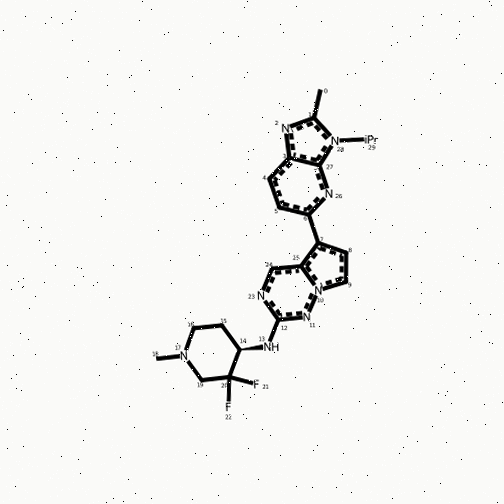 Cc1nc2ccc(-c3ccn4nc(N[C@@H]5CCN(C)CC5(F)F)ncc34)nc2n1C(C)C